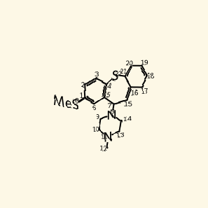 CSc1ccc2c(c1)C(N1CCN(C)CC1)C=C1CC=CC=C1S2